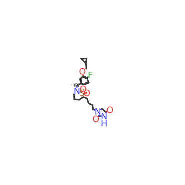 C[C@H](c1ccc(F)c(OCC2CC2)c1)N1CCCC(CCCCN2CC(=O)NC2=O)S1(=O)=O